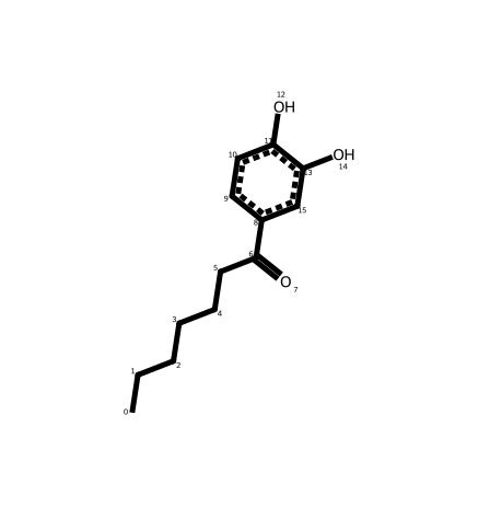 CCCCCCC(=O)c1ccc(O)c(O)c1